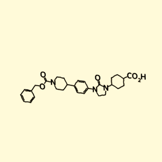 O=C(O)C1CCC(N2CCN(c3ccc(C4CCN(C(=O)OCc5ccccc5)CC4)cc3)C2=O)CC1